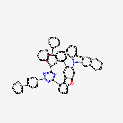 c1ccc(-c2ccc(-c3nc(-c4ccc(-c5ccccc5)cc4)nc(-c4cccc5oc6cc(-n7c8ccccc8c8cc9ccccc9cc87)c(-c7cccc(-c8ccccc8)c7)cc6c45)n3)cc2)cc1